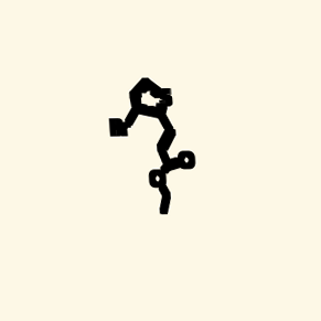 CCOC(=O)C=Cc1sccc1Br